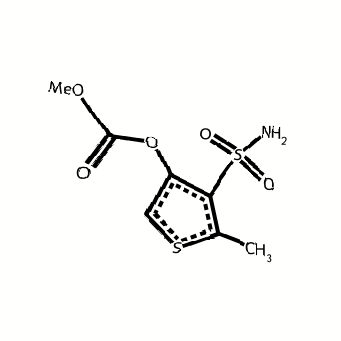 COC(=O)Oc1csc(C)c1S(N)(=O)=O